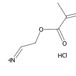 C=C(C)C(=O)OCC=N.Cl